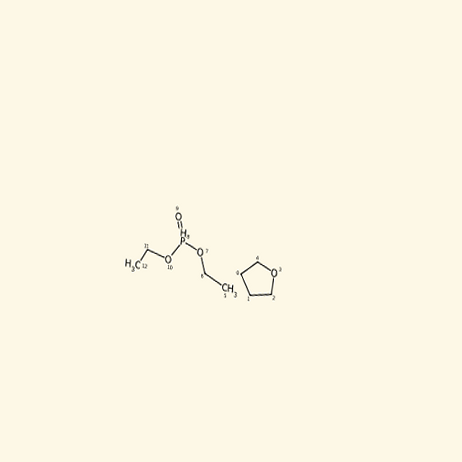 C1CCOC1.CCO[PH](=O)OCC